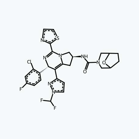 O=C(N[C@H]1CC2=C(c3ccn(C(F)F)n3)[C@H](c3ccc(F)cc3Cl)N=C(c3nccs3)N2C1)N1CC2CCC(C1)O2